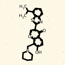 CC(C)c1cccc2nc(-c3coc4c(CN5CCCCC5)c(O)ccc4c3=O)sc12